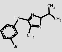 CC1=NC(C(C)C)N=C1Nc1cccc(Br)c1